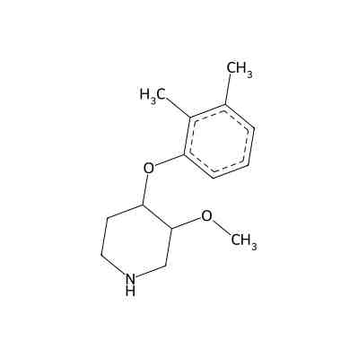 COC1CNCCC1Oc1cccc(C)c1C